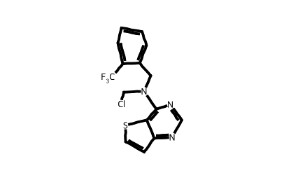 FC(F)(F)c1ccccc1CN(CCl)c1ncnc2ccsc12